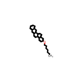 CCCCCCCOc1ccc2c(ccc3c4cc5ccccc5cc4ccc23)c1